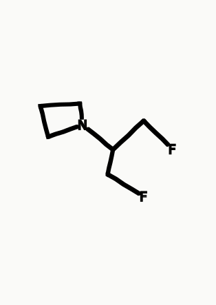 FCC(CF)N1CCC1